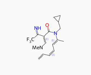 C=C/C=C\C=C(/C)N(CC1CC1)C(=O)/C(=C/NC)C(=N)C(F)(F)F